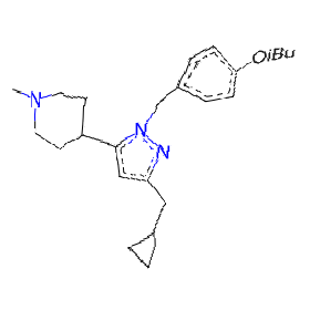 CC(C)COc1ccc(Cn2nc(CC3CC3)cc2C2CCN(C)CC2)cc1